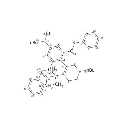 CCCCC1CCC(C(C)(C)C(N)=O)=C(c2c(OCc3ccccc3)cc(C(CC)CCCC)cc2OCc2ccccc2)C1